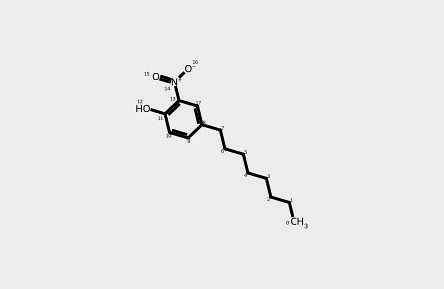 CCCCCCCCc1ccc(O)c([N+](=O)[O-])c1